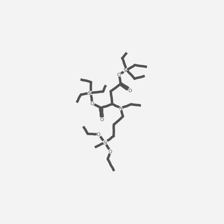 CCO[Si](C)(CCCN(CC)C(CC(=O)O[Si](CC)(CC)CC)C(=O)O[Si](CC)(CC)CC)OCC